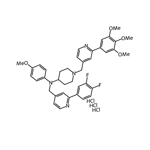 COc1ccc(N(Cc2ccnc(-c3ccc(F)c(F)c3)c2)C2CCN(Cc3ccnc(-c4cc(OC)c(OC)c(OC)c4)c3)CC2)cc1.Cl.Cl.Cl